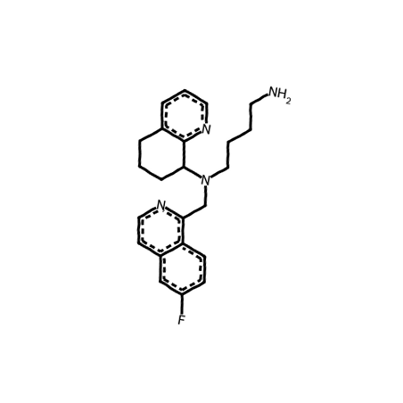 NCCCCN(Cc1nccc2cc(F)ccc12)C1CCCc2cccnc21